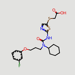 O=C(O)CSc1cnc(NC(=O)N(CCCOc2cccc(F)c2)C2CCCCC2)s1